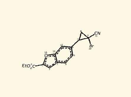 CCOC(=O)c1cc2ccc(C3CC3(Br)C#N)cc2o1